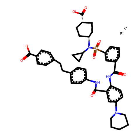 O=C([O-])c1ccc(CCc2ccc(NC(=O)c3cc(N4CCCCC4)ccc3NC(=O)c3cccc(S(=O)(=O)N(C4CC4)[C@H]4CC[C@H](C(=O)[O-])CC4)c3)cc2)cc1.[K+].[K+]